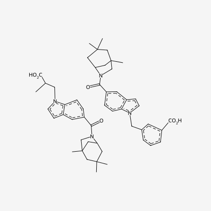 CC(Cn1ccc2cc(C(=O)N3CC4(C)CC3CC(C)(C)C4)ccc21)C(=O)O.CC1(C)CC2CC(C)(CN2C(=O)c2ccc3c(ccn3Cc3cccc(C(=O)O)c3)c2)C1